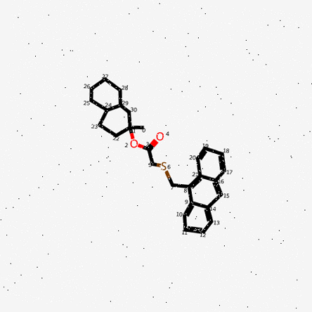 CC1(OC(=O)CSCc2c3ccccc3cc3ccccc23)CCC2CCCCC2C1